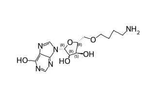 NCCCCOC[C@H]1O[C@@H](n2cnc3c(O)ncnc32)[C@H](O)[C@@H]1O